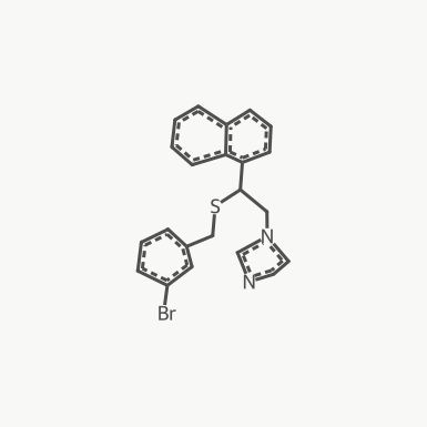 Brc1cccc(CSC(Cn2ccnc2)c2cccc3ccccc23)c1